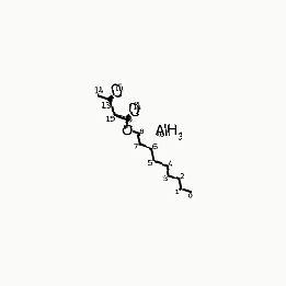 CCCCCCCCCOC(=O)CC(C)=O.[AlH3]